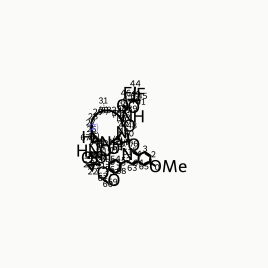 COc1ccc2c(O[C@@H]3C[C@H]4C(=O)N[C@]5(C(=O)NS(=O)(=O)C6(C)CC6)C[C@H]5/C=C\CC[C@H](C)C[C@@H](C)[C@H](NC(=O)OC(C)(C)C(C)(F)F)C(=O)N4C3)nc(-c3ccc4c(c3)OCCO4)cc2c1